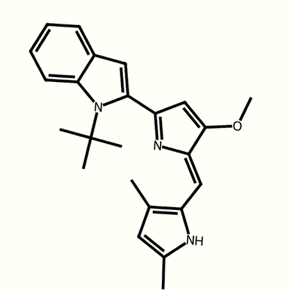 COC1=CC(c2cc3ccccc3n2C(C)(C)C)=N/C1=C\c1[nH]c(C)cc1C